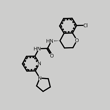 O=C(Nc1cccc(N2CCCC2)n1)N[C@H]1CCOc2c(Cl)cccc21